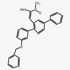 CSC(=Cc1cc(-c2ccccc2)ccc1-c1cccc(OCc2ccccc2)c1)[S+](C)[O-]